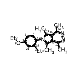 CCOc1ccc(-n2c(C)c3c(C)nnc(C)c3c2C)c(CC)c1